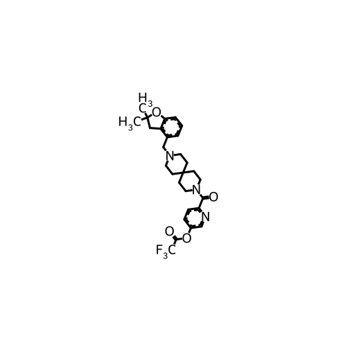 CC1(C)Cc2c(CN3CCC4(CC3)CCN(C(=O)c3ccc(OC(=O)C(F)(F)F)cn3)CC4)cccc2O1